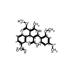 COC(=O)C1=C(C)NC(c2ccc(SC)cc2OC)=C(C(=O)O)C1c1cccc([N+](=O)[O-])c1